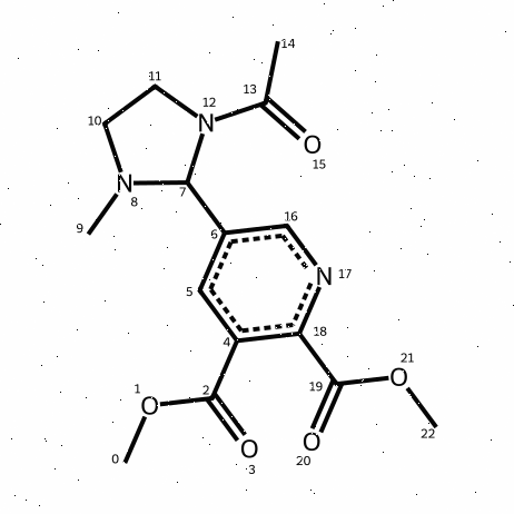 COC(=O)c1cc(C2N(C)CCN2C(C)=O)cnc1C(=O)OC